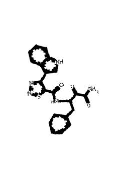 NC(=O)C(=O)C(Cc1ccccc1)NC(=O)c1snnc1-c1c[nH]c2ccccc12